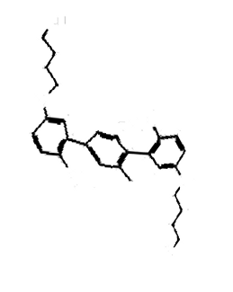 Cc1cc(-c2cc(OCCCCS)ccc2C(=O)O)ccc1-c1cc(OCCCCS)ccc1C(=O)O